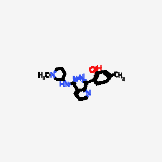 Cc1ccc(-c2nnc(NC3CCCN(C)C3)c3cccnc23)c(O)c1